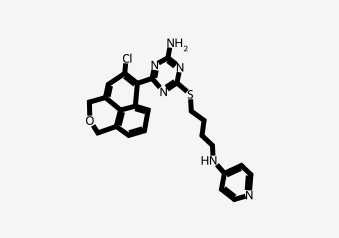 Nc1nc(SCCCCNc2ccncc2)nc(-c2c(Cl)cc3c4c(cccc24)COC3)n1